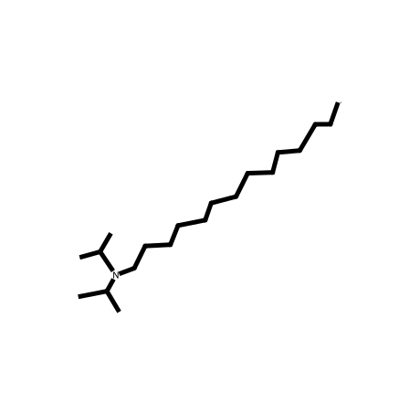 [CH2]CCCCCCCCCCCCCN(C(C)C)C(C)C